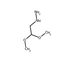 COC(CNN)OC